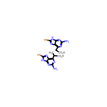 CC(C(=O)O)c1nc(N)nc2[nH]c(S)nc12.Nc1nc(CC(=O)O)c2nc(S)[nH]c2n1